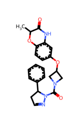 CC1Oc2ccc(OC3CN(C(=O)N4N=CCC4c4ccccc4)C3)cc2NC1=O